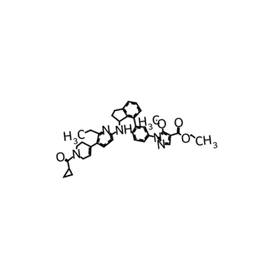 CCOC(=O)c1cnn(-c2cccc(-c3cccc4c3C(Nc3ccc(C5=CCN(C(=O)C6CC6)CC5)c(CC)n3)CC4)c2)c1OC